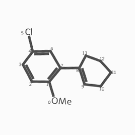 COc1ccc(Cl)cc1C1=CCCCC1